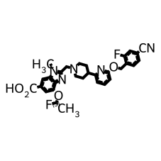 C[C@H](F)Oc1cc(C(=O)O)cc2c1nc(CN1CCC(c3cccc(OCc4ccc(C#N)cc4F)n3)CC1)n2C